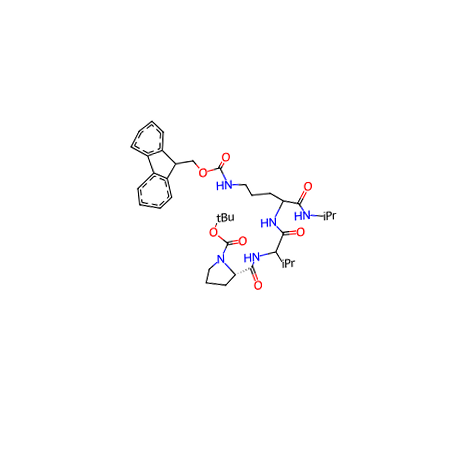 CC(C)NC(=O)C(CCCNC(=O)OCC1c2ccccc2-c2ccccc21)NC(=O)C(NC(=O)[C@@H]1CCCN1C(=O)OC(C)(C)C)C(C)C